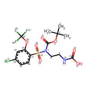 CC(C)(C)OC(=O)N(CCNC(=O)O)S(=O)(=O)c1ccc(Br)cc1OC(F)(F)F